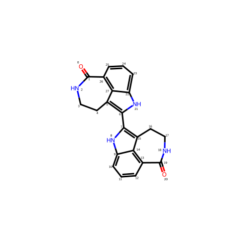 O=C1NCCc2c(-c3[nH]c4cccc5c4c3CCNC5=O)[nH]c3cccc1c23